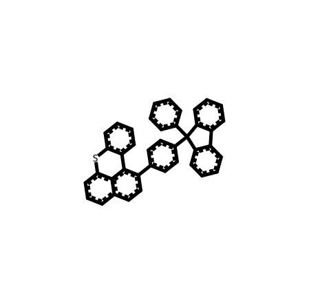 c1ccc(C2(c3ccc(-c4ccc5cccc6c5c4-c4ccccc4S6)cc3)c3ccccc3-c3ccccc32)cc1